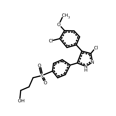 COc1ccc(-c2c(Cl)n[nH]c2-c2ccc(S(=O)(=O)CCCO)cc2)cc1Cl